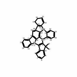 CC1(C)C2=C(c3ccccc31)n1c3ccccc3c3cc4c5c(n6c4c(c31)B2c1ccccc1-6)C=CCC5